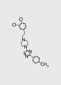 Cc1ccc(-c2nsc(N3CCN(CCc4ccc(Cl)c(Cl)c4)CC3)n2)cc1